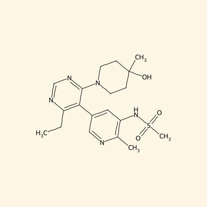 CCc1ncnc(N2CCC(C)(O)CC2)c1-c1cnc(C)c(NS(C)(=O)=O)c1